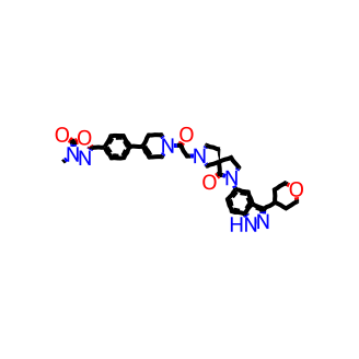 Cn1nc(-c2ccc(C3=CCN(C(=O)CN4CC[C@]5(CCN(c6ccc7[nH]nc(C8CCOCC8)c7c6)C5=O)C4)CC3)cc2)oc1=O